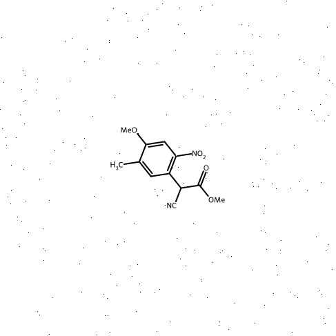 COC(=O)C(C#N)c1cc(C)c(OC)cc1[N+](=O)[O-]